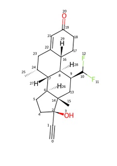 C#C[C@]1(O)CC[C@H]2[C@H]3[C@H]([C@@H](C(F)F)C[C@@]21C)[C@H]1CCC(=O)C=C1C[C@H]3C